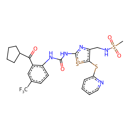 CS(=O)(=O)NCc1nc(NC(=O)Nc2ccc(C(F)(F)F)cc2C(=O)C2CCCC2)sc1Sc1ccccn1